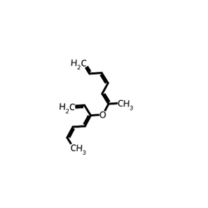 C=C/C=C\C=C(/C)O/C(C=C)=C/C=C\C